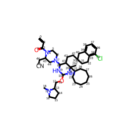 C=CC(=O)N1CCN(C2NC(OCC3CCCN3C)NC3(C4CCCCCCC4)C[C@]4(CCc5c(Cl)cccc5C4)CCC23)CC1CC#N